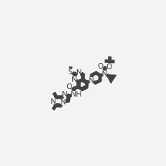 CSc1ncc2c(N3CCC(N(C(=O)OC(C)(C)C)C4CC4)CC3)ccc(C(=O)Nc3cn4cc(C)nc(C)c4n3)c2n1